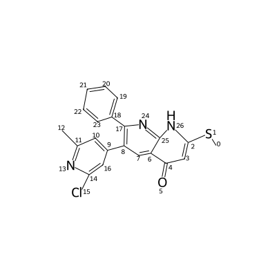 CSc1cc(=O)c2cc(-c3cc(C)nc(Cl)c3)c(-c3ccccc3)nc2[nH]1